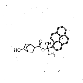 CC(C)(OC(=O)C1CC2CC1CC2O)c1ccc2ccc3cccc4ccc1c2c34